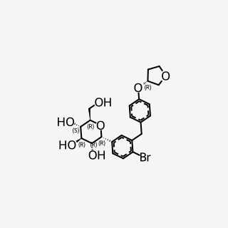 OC[C@H]1O[C@H](c2ccc(Br)c(Cc3ccc(O[C@@H]4CCOC4)cc3)c2)[C@H](O)[C@@H](O)[C@@H]1O